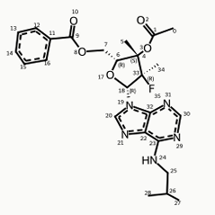 CC(=O)O[C@@]1(C)[C@@H](COC(=O)c2ccccc2)O[C@@H](n2cnc3c(NCC(C)C)ncnc32)[C@]1(C)F